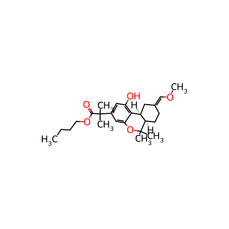 CCCCOC(=O)C(C)(C)c1cc(O)c2c(c1)OC(C)(C)[C@@H]1CC/C(=C\OC)C[C@H]21